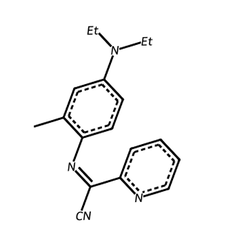 CCN(CC)c1ccc(N=C(C#N)c2ccccn2)c(C)c1